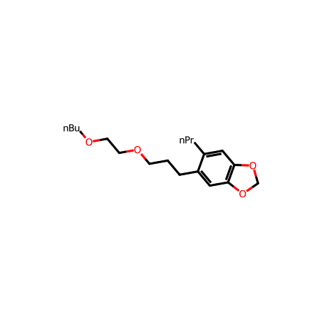 CCCCOCCOCCCc1cc2c(cc1CCC)OCO2